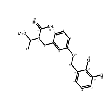 COC(C)N(Cc1cccc(OCc2cccc(Cl)c2Cl)c1)C(=N)N